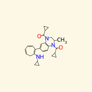 CC1CN(C(=O)C2CC2)c2cc(C3=C(NC4CC4)CC=CC=C3)ccc2N1C(=O)C1CC1